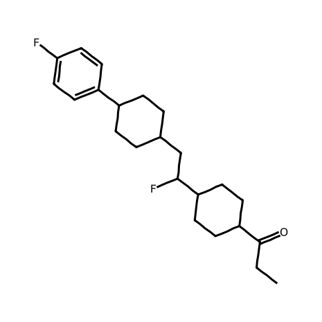 CCC(=O)C1CCC(C(F)CC2CCC(c3ccc(F)cc3)CC2)CC1